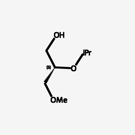 COC[C@H](CO)OC(C)C